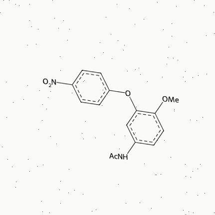 COc1ccc(NC(C)=O)cc1Oc1ccc([N+](=O)[O-])cc1